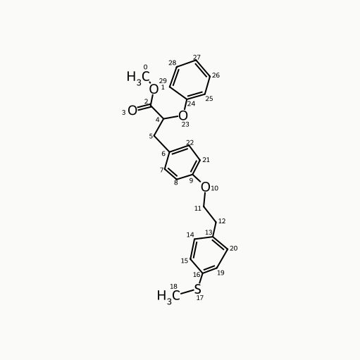 COC(=O)C(Cc1ccc(OCCc2ccc(SC)cc2)cc1)Oc1ccccc1